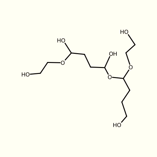 OCCCC(OCCO)OC(O)CCC(O)OCCO